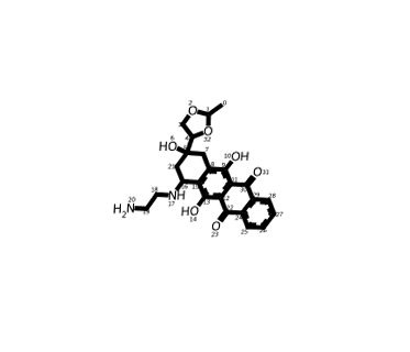 CC1OCC(C2(O)Cc3c(O)c4c(c(O)c3C(NCCN)C2)C(=O)c2ccccc2C4=O)O1